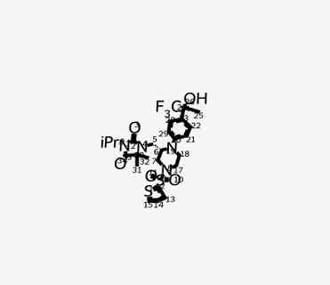 CC(C)N1C(=O)N(C[C@H]2CN(S(=O)(=O)c3cccs3)CCN2c2ccc([C@](C)(O)C(F)(F)F)cc2)C(C)(C)C1=O